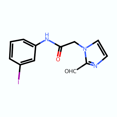 O=Cc1nccn1CC(=O)Nc1cccc(I)c1